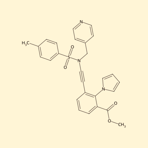 COC(=O)c1cccc(C#CN(Cc2ccncc2)S(=O)(=O)c2ccc(C)cc2)c1-n1cccc1